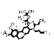 C=CCCN(C(=O)C=C)C1CN2CCc3cc(OC)c(OC)cc3C2CC1NC(=O)OC(C)(C)C